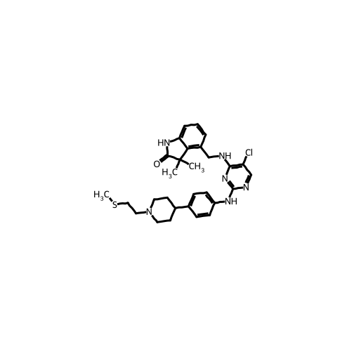 CSCCN1CCC(c2ccc(Nc3ncc(Cl)c(NCc4cccc5c4C(C)(C)C(=O)N5)n3)cc2)CC1